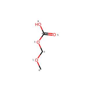 COCOC(=O)O